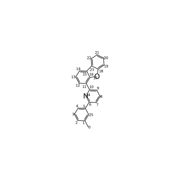 Cc1cccc(-c2cccc(-c3cccc4c3oc3ccccc34)n2)c1